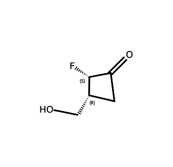 O=C1C[C@H](CO)[C@@H]1F